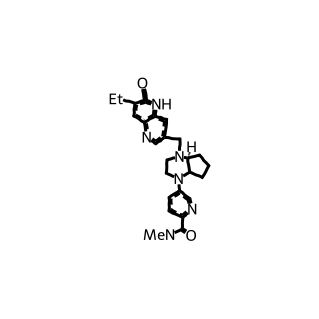 CCc1cc2ncc(CN3CCN(c4ccc(C(=O)NC)nc4)C4CCC[C@@H]43)cc2[nH]c1=O